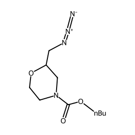 CCCCOC(=O)N1CCOC(CN=[N+]=[N-])C1